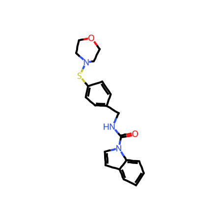 O=C(NCc1ccc(SN2CCOCC2)cc1)n1ccc2ccccc21